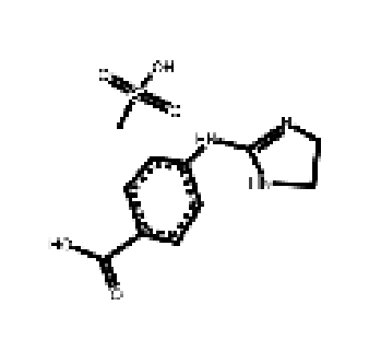 CS(=O)(=O)O.O=C(O)c1ccc(NC2=NCCN2)cc1